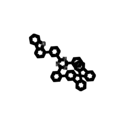 c1ccc(-c2nc(-c3cccc(-c4cccc5c4oc4ccccc45)c3)nc(-c3ccccc3-c3ccc4c(c3)-c3ccccc3C43c4ccccc4-c4ccccc43)n2)cc1